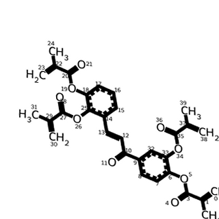 C=C(C)C(=O)Oc1ccc(C(=O)/C=C/c2cccc(OC(=O)C(=C)C)c2OC(=O)C(=C)C)cc1OC(=O)C(=C)C